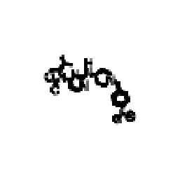 CC(C)C1COC(=O)N1c1ccnc(NC2CCN(Cc3ccc([N+](=O)[O-])cc3)CC2)n1